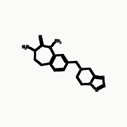 CC1CCc2ccc(CN3CCn4ncnc4C3)cc2N(C)C1=O